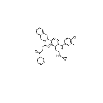 Cc1cc(NC(=O)C(CCNC2CC2)NC(=O)C2Cc3ccccc3CN2C(=O)CCC(=O)c2ccccc2)ccc1Cl